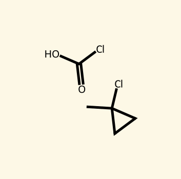 CC1(Cl)CC1.O=C(O)Cl